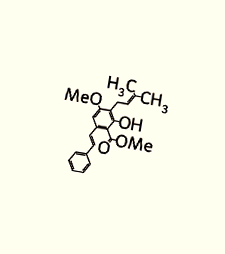 COC(=O)c1c(/C=C/c2ccccc2)cc(OC)c(CC=C(C)C)c1O